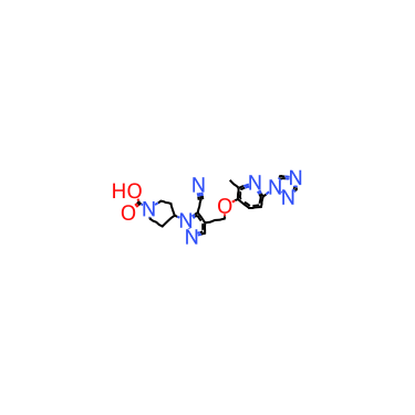 Cc1nc(-n2cncn2)ccc1OCc1cnn(C2CCN(C(=O)O)CC2)c1C#N